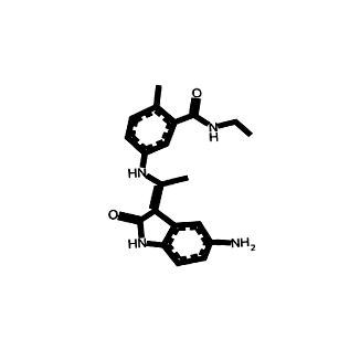 CCNC(=O)c1cc(N/C(C)=C2\C(=O)Nc3ccc(N)cc32)ccc1C